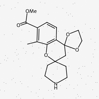 COC(=O)c1ccc2c(c1C)OC1(CCNCC1)CC21OCCO1